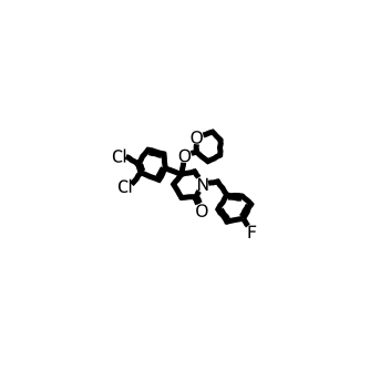 O=C1CCC(OC2CCCCO2)(c2ccc(Cl)c(Cl)c2)CN1Cc1ccc(F)cc1